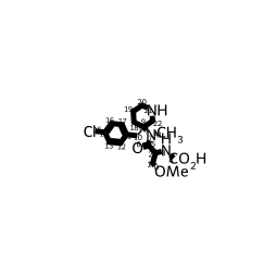 COCC(NC(=O)O)C(=O)N(C)[C@@]1(Cc2ccc(Cl)cc2)CCCNC1